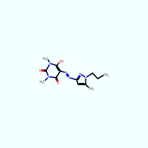 CCCn1nc(/N=N/c2c(O)n(C)c(=O)n(C)c2=O)cc1C